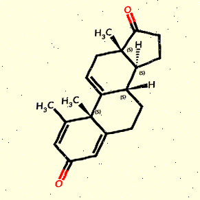 CC1=CC(=O)C=C2CC[C@@H]3C(=CC[C@]4(C)C(=O)CC[C@@H]34)[C@@]12C